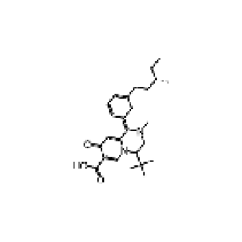 CC[C@H](C)CCC1=CC=C/C(=C2\c3cc(=O)c(C(=O)O)cn3C(C(C)(C)C)CN2C)C1